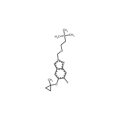 CC1(Oc2cc3cn(COCC[Si](C)(C)C)nc3cc2F)CC1